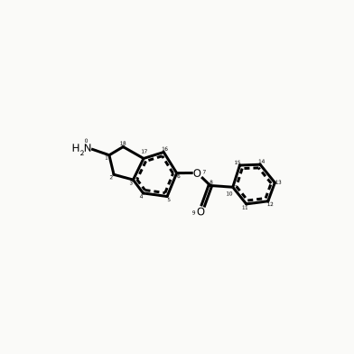 NC1Cc2ccc(OC(=O)c3ccccc3)cc2C1